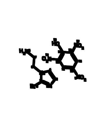 CCc1nccn1CCN.O=[N+]([O-])c1cc([N+](=O)[O-])c(O)c([N+](=O)[O-])c1